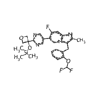 Cc1nc2cc(F)c(-c3cnc(C4(O[Si](C)(C)C)COC4)nc3)cn2c1Cc1ccccc1OC(F)F